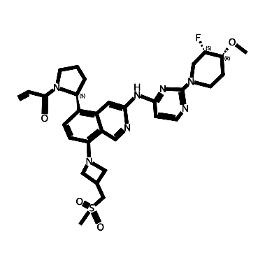 C=CC(=O)N1CCC[C@H]1c1ccc(N2CC(CS(C)(=O)=O)C2)c2cnc(Nc3ccnc(N4CC[C@@H](OC)[C@@H](F)C4)n3)cc12